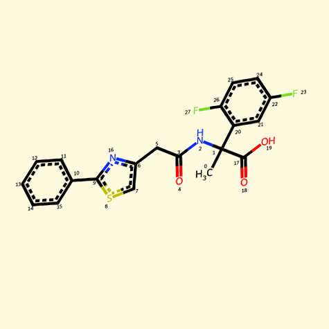 CC(NC(=O)Cc1csc(-c2ccccc2)n1)(C(=O)O)c1cc(F)ccc1F